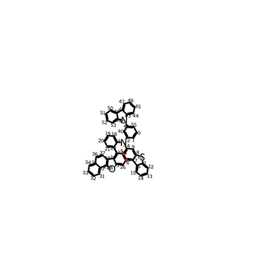 c1cc(N(c2ccc3c(c2)sc2ccccc23)c2ccccc2-c2cccc3oc4c5ccccc5ccc4c23)cc(-n2c3ccccc3c3ccccc32)c1